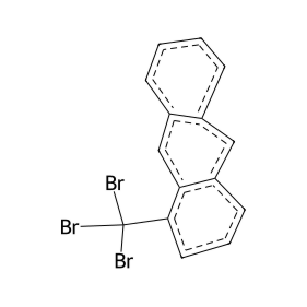 BrC(Br)(Br)c1cccc2cc3ccccc3cc12